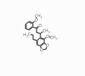 CCCc1cc2c(c(OC)c1C(C)CC(=O)c1ccccc1OC)OCO2